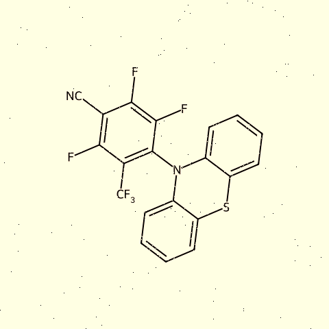 N#Cc1c(F)c(F)c(N2c3ccccc3Sc3ccccc32)c(C(F)(F)F)c1F